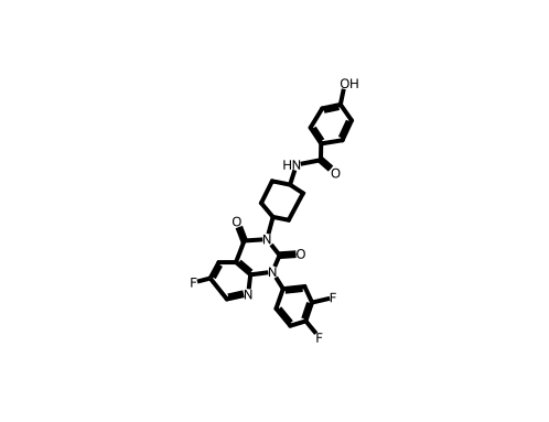 O=C(NC1CCC(n2c(=O)c3cc(F)cnc3n(-c3ccc(F)c(F)c3)c2=O)CC1)c1ccc(O)cc1